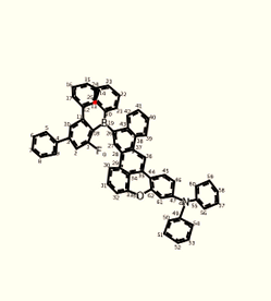 Fc1cc(-c2ccccc2)cc(-c2ccccc2)c1B(c1ccccc1)c1cc2c3cccc4c3c(cc2c2ccccc12)-c1ccc(N(c2ccccc2)c2ccccc2)cc1O4